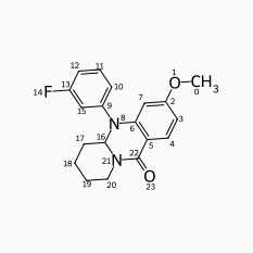 COc1ccc2c(c1)N(c1cccc(F)c1)C1CCCCN1C2=O